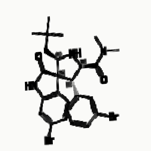 CN(C)C(=O)[C@@H]1N[C@H](CC(C)(C)C)[C@]2(C(=O)Nc3cc(Br)ccc32)[C@H]1c1cccc(Br)c1